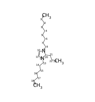 CCCCCCCCCN1C=CN(CCCCCCC)C1CCC